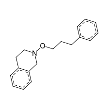 c1ccc(CCCON2CCc3ccccc3C2)cc1